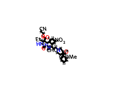 CCC1=C(C(=O)OCCC#N)C(c2ccc([N+](=O)[O-])cc2)N(N(C=O)CCCN2CCC(C(=O)OC)(c3ccccc3)CC2)C(=O)N1